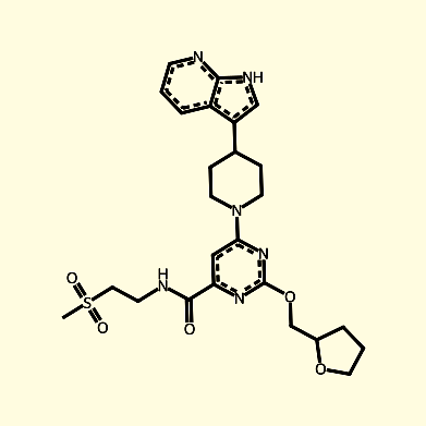 CS(=O)(=O)CCNC(=O)c1cc(N2CCC(c3c[nH]c4ncccc34)CC2)nc(OCC2CCCO2)n1